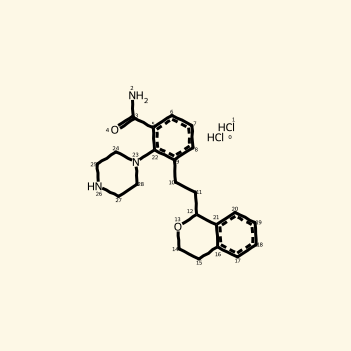 Cl.Cl.NC(=O)c1cccc(CCC2OCCc3ccccc32)c1N1CCNCC1